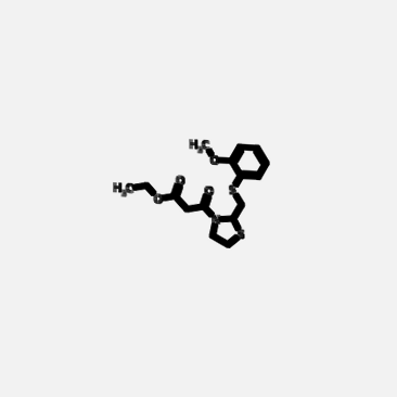 CCOC(=O)CC(=O)N1CCSC1CSc1ccccc1OC